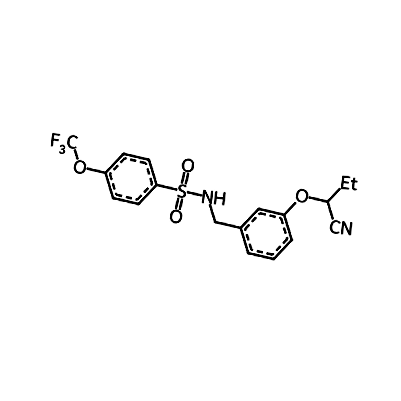 CCC(C#N)Oc1cccc(CNS(=O)(=O)c2ccc(OC(F)(F)F)cc2)c1